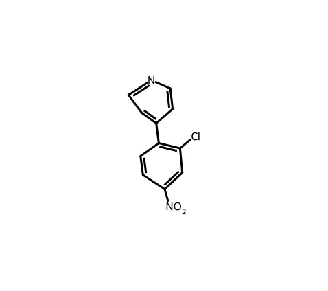 O=[N+]([O-])c1ccc(-c2ccncc2)c(Cl)c1